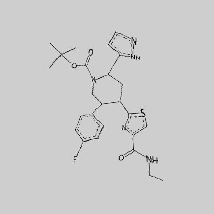 CCNC(=O)c1csc(C2CC(c3ccn[nH]3)N(C(=O)OC(C)(C)C)CC2c2ccc(F)cc2)n1